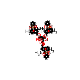 Cc1cc(COC(=O)CC(O)(CC(=O)OCc2cc(C)c(C(=O)P(=O)(c3ccccc3)c3ccccc3)c(C)c2)C(=O)OCc2cc(C)c(C(=O)P(=O)(c3ccccc3)c3ccccc3)c(C)c2)cc(C)c1C(=O)P(=O)(c1ccccc1)c1ccccc1